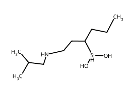 CCCC(CCNCC(C)C)[SiH](O)O